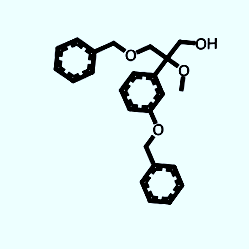 COC(CO)(COCc1ccccc1)c1cccc(OCc2ccccc2)c1